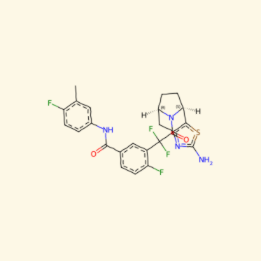 Cc1cc(NC(=O)c2ccc(F)c(C(F)(F)C(=O)N3[C@@H]4CC[C@H]3c3sc(N)nc3C4)c2)ccc1F